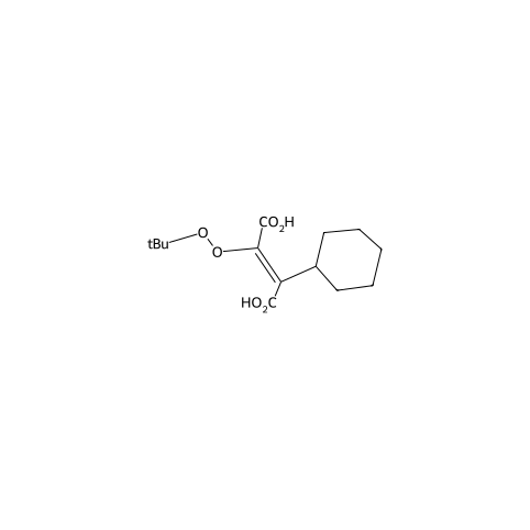 CC(C)(C)OO/C(C(=O)O)=C(\C(=O)O)C1CCCCC1